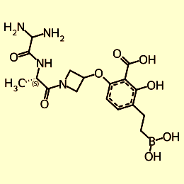 C[C@H](NC(=O)C(N)N)C(=O)N1CC(Oc2ccc(CCB(O)O)c(O)c2C(=O)O)C1